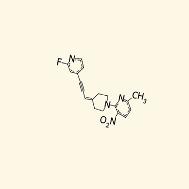 Cc1ccc([N+](=O)[O-])c(N2CCC(=CC#Cc3ccnc(F)c3)CC2)n1